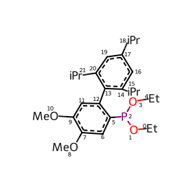 CCOP(OCC)c1cc(OC)c(OC)cc1-c1c(C(C)C)cc(C(C)C)cc1C(C)C